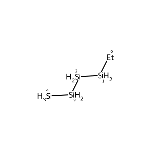 CC[SiH2][SiH2][SiH2][SiH3]